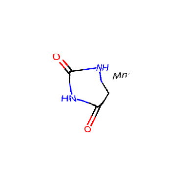 O=C1CNC(=O)N1.[Mn]